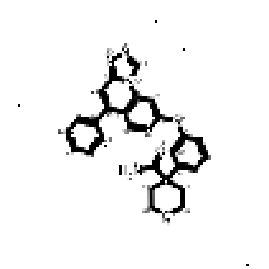 NC(=O)C1(c2cccc(Sc3ccc4c(-c5ccccc5)cc5nncn5c4c3)c2)CCOCC1